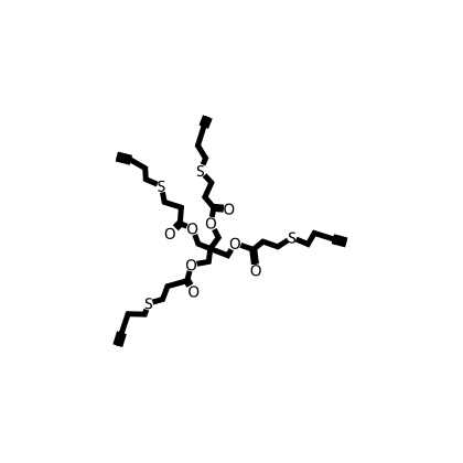 C#CCCSCCC(=O)OCC(COC(=O)CCSCCC#C)(COC(=O)CCSCCC#C)COC(=O)CCSCCC#C